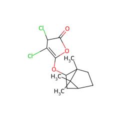 CC1(C)C2CCC1(C)C(OC1=C(Cl)C(Cl)C(=O)O1)C2